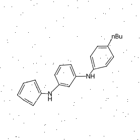 CCCCc1ccc(Nc2cccc(Nc3ccccc3)c2)cc1